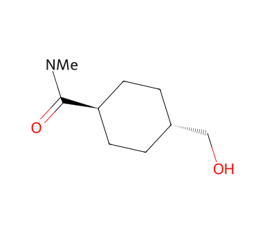 CNC(=O)[C@H]1CC[C@H](CO)CC1